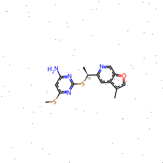 CSc1cc(N)nc(S[C@@H](C)c2cc3c(C)coc3cn2)n1